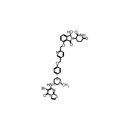 CN1C[C@H](Nc2nc3sccn3c(=O)c2Br)C[C@H](c2ccc(OCc3ccc(COc4cccc5c4C(=O)N(C4CCC(=O)NC4=O)C5O)nc3)cc2)C1